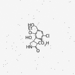 CCOc1c([C@@H](C)O)cc(Cl)c(F)c1[C@]1(O)CNC(=O)C1C(=O)O